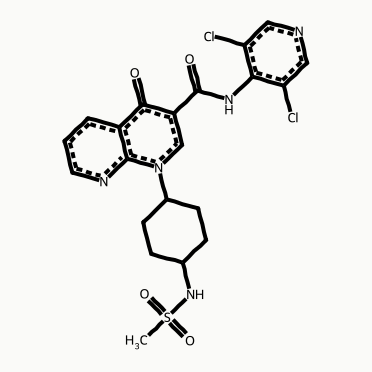 CS(=O)(=O)NC1CCC(n2cc(C(=O)Nc3c(Cl)cncc3Cl)c(=O)c3cccnc32)CC1